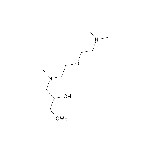 COCC(O)CN(C)CCOCCN(C)C